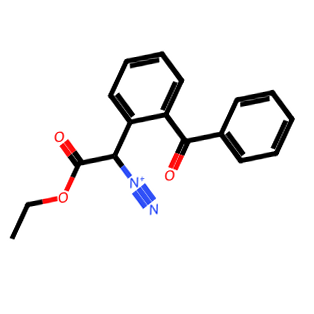 CCOC(=O)C([N+]#N)c1ccccc1C(=O)c1ccccc1